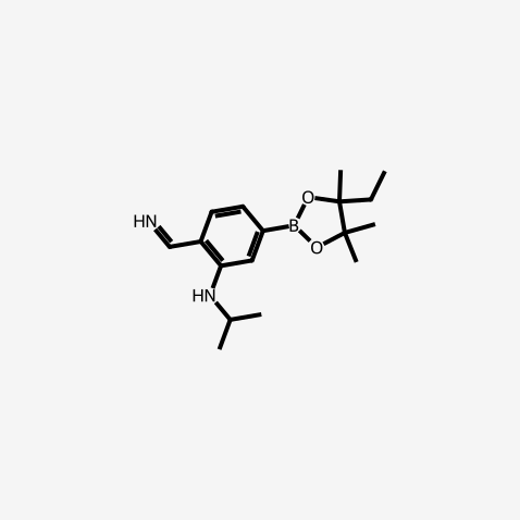 CCC1(C)OB(c2ccc(C=N)c(NC(C)C)c2)OC1(C)C